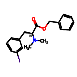 CN(C)[C@@H](Cc1cccc(I)c1)C(=O)OCc1ccccc1